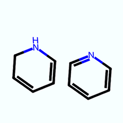 C1=CCNC=C1.c1ccncc1